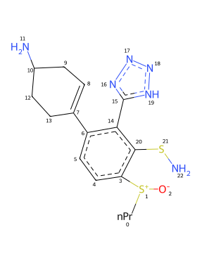 CCC[S+]([O-])c1ccc(C2=CCC(N)CC2)c(-c2nnn[nH]2)c1SN